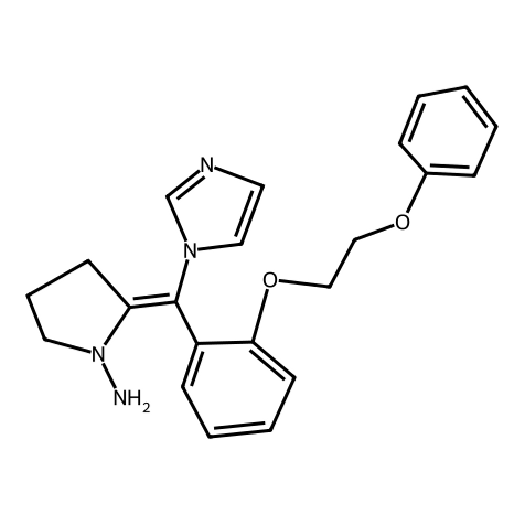 NN1CCCC1=C(c1ccccc1OCCOc1ccccc1)n1ccnc1